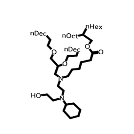 CCCCCCCCCCCCOCC(CN(CCCCCC(=O)OCC(CCCCCC)CCCCCCCC)CCN(CCO)C1CCCCC1)OCCCCCCCCCCCC